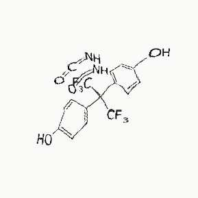 N=C=O.N=C=O.Oc1ccc(C(c2ccc(O)cc2)(C(F)(F)F)C(F)(F)F)cc1